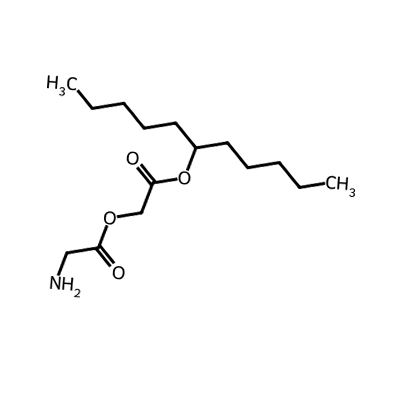 CCCCCC(CCCCC)OC(=O)COC(=O)CN